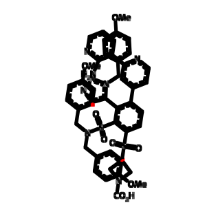 COc1ccc(CN(Cc2ccc(OC)cc2)S(=O)(=O)c2c(S(=O)(=O)C3CN(C(=O)O)C3)ccc(-c3ccnc(-c4cccnc4N)c3)c2-c2nnnn2Cc2ccc(OC)cc2)cc1